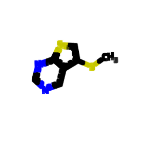 CSc1csc2ncncc12